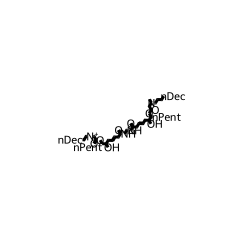 CCCCCCCCCCCCCN(C)CC(=O)OC(CCCCC)C(O)C/C=C/CC(=O)NCNC(=O)C/C=C/CC(O)C(CCCCC)OC(=O)C[N+](C)(C)CCCCCCCCCCCC